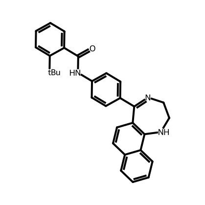 CC(C)(C)c1ccccc1C(=O)Nc1ccc(C2=NCCNc3c2ccc2ccccc32)cc1